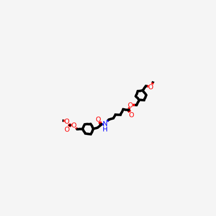 COCC1CCC(COC(=O)CCCCCNC(=O)CC2CCC(COC(=O)OC)CC2)CC1